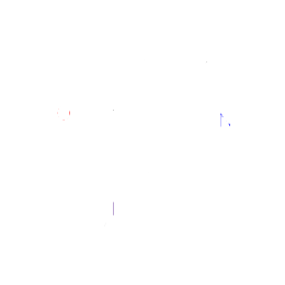 COc1ccnc(C)c1I